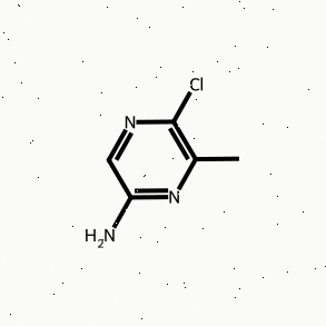 Cc1nc(N)cnc1Cl